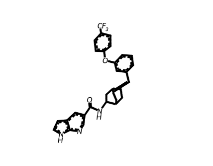 O=C(NC1CC2CCC1CC2=Cc1cccc(Oc2ccc(C(F)(F)F)cc2)c1)c1cnc2[nH]ccc2c1